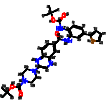 CC(C)(C)OC(=O)Nc1ccc(-c2cccs2)cc1NC(=O)c1ccc2nc(N3CCN(C(=O)OC(C)(C)C)CC3)cnc2c1